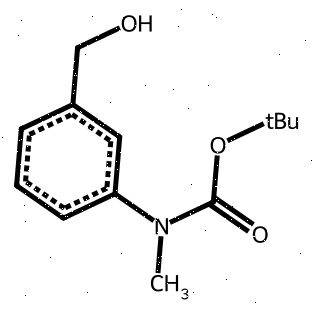 CN(C(=O)OC(C)(C)C)c1cccc(CO)c1